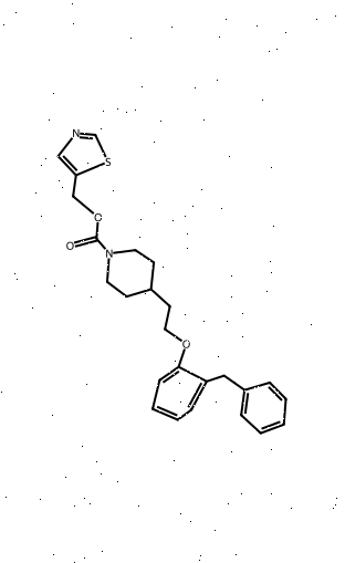 O=C(OCc1cncs1)N1CCC(CCOc2ccccc2Cc2ccccc2)CC1